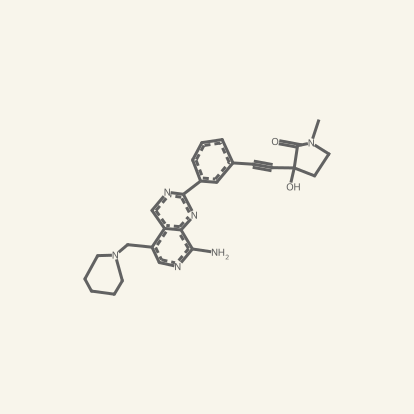 CN1CCC(O)(C#Cc2cccc(-c3ncc4c(CN5CCCCC5)cnc(N)c4n3)c2)C1=O